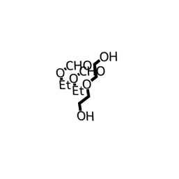 CCOC=O.CCOC=O.OCCOCCO